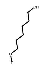 OCCCCCC[O][Ti]